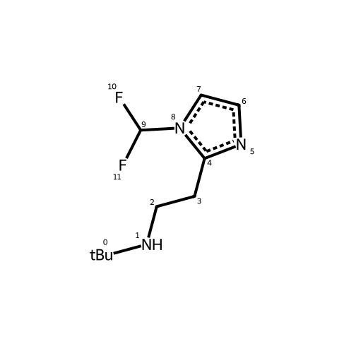 CC(C)(C)NCCc1nccn1C(F)F